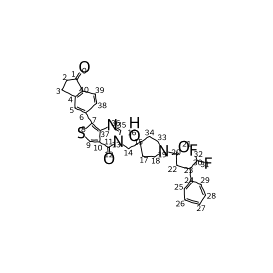 O=C1CCc2cc(-c3scc4c(=O)n(CC5(O)CCN(C(=O)CC(c6ccccc6)C(F)F)CC5)cnc34)ccc21